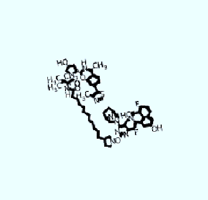 C#Cc1c(F)ccc2cc(O)cc(-c3ncc4c(N5CC6CCC(C5)N6)nc(ON5CCC(CCCCCCCCCCCC(=O)N[C@H](C(=O)N6C[C@H](O)C[C@H]6C(=O)N[C@@H](C)c6ccc(-c7scnc7C)cc6)C(C)(C)C)C5)nc4c3F)c12